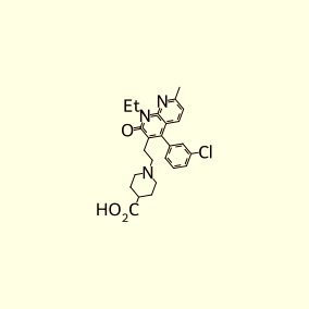 CCn1c(=O)c(CCN2CCC(C(=O)O)CC2)c(-c2cccc(Cl)c2)c2ccc(C)nc21